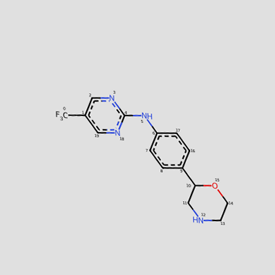 FC(F)(F)c1cnc(Nc2ccc(C3CNCCO3)cc2)nc1